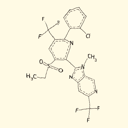 CCS(=O)(=O)c1cc(C(F)(F)F)c(-c2ccccc2Cl)nc1-c1nc2cc(C(F)(F)F)ncc2n1C